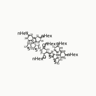 CCCCCCOc1cc(-c2cc3c(s2)-c2sccc2C3(c2ccc(CCCCCC)cc2)c2ccc(CCCCCC)cc2)c(OCCCCCC)cc1-c1cc2c(s1)-c1sccc1C2(c1ccc(CCCCCC)cc1)c1ccc(CCCCCC)cc1